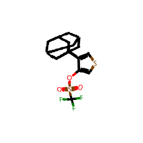 O=S(=O)(Oc1cscc1C12CC3CC(CC(C3)C1)C2)C(F)(F)F